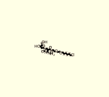 Nc1nc(=O)n([C@H]2CC(O)[C@@H](CO)O2)cc1C(=O)NCCOCCOCCCCCCCl